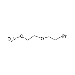 CC(C)CCOCCO[N+](=O)[O-]